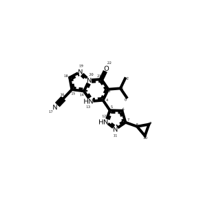 CC(C)c1c(-c2cc(C3CC3)n[nH]2)[nH]c2c(C#N)cnn2c1=O